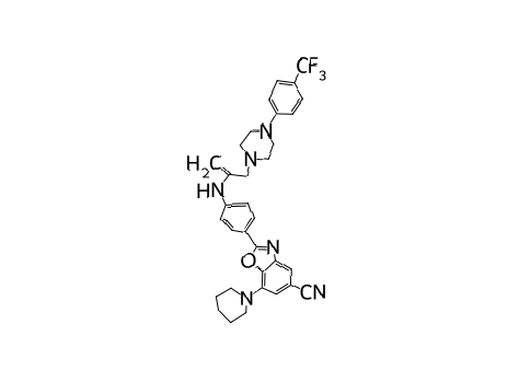 C=C(CN1CCN(c2ccc(C(F)(F)F)cc2)CC1)Nc1ccc(-c2nc3cc(C#N)cc(N4CCCCC4)c3o2)cc1